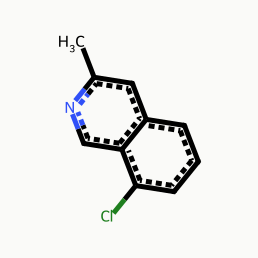 Cc1cc2cccc(Cl)c2cn1